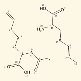 C=CCSC[C@H](NC(C)=O)C(=O)O.CC=CSC[C@H](N)C(=O)O